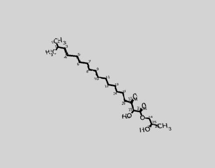 CC(C)CCCCCCCCCCCCCCC(=O)C(O)C(=O)OCC(C)O